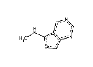 CNc1scc2ncncc12